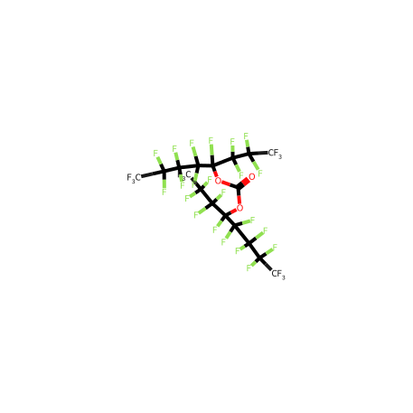 O=C(OC(F)(C(F)(F)C(F)(F)C(F)(F)F)C(F)(F)C(F)(F)C(F)(F)C(F)(F)F)OC(F)(C(F)(F)C(F)(F)C(F)(F)F)C(F)(F)C(F)(F)C(F)(F)C(F)(F)F